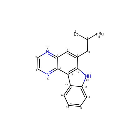 CCCCC(CC)Cc1cc2nccnc2c2c1[nH]c1ccccc12